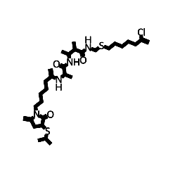 C=C(Cl)CCCCCSCNC(=O)C(C)C(C)NC(=O)C(C)NC(=C)CCCCCN1C(=C)CC(SC(C)C)C1=O